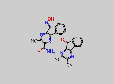 N#Cc1nc2c(nc1C#N)-c1ccccc1C2=O.N#Cc1nc2c(nc1C(N)=O)-c1ccccc1/C2=N\O